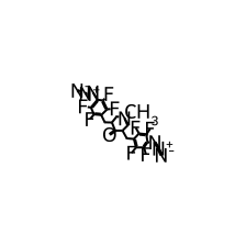 CN1CC(Cc2c(F)c(F)c(N=[N+]=[N-])c(F)c2F)C(=O)C(Cc2c(F)c(F)c(N=[N+]=[N-])c(F)c2F)C1